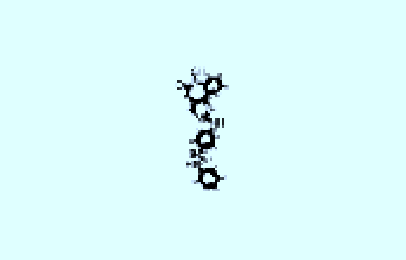 CN1C(=O)Cc2cnc(Nc3ccc(S(=O)(=O)Nc4ccccc4)cc3)nc2-c2ccccc21